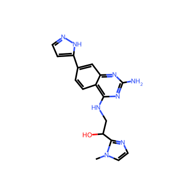 Cn1ccnc1C(O)CNc1nc(N)nc2cc(-c3ccn[nH]3)ccc12